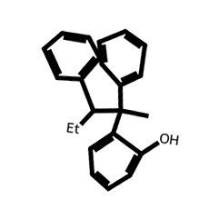 CCC(c1ccccc1)C(C)(c1ccccc1)c1ccccc1O